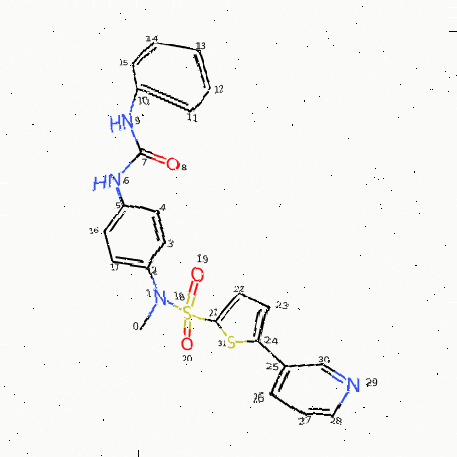 CN(c1ccc(NC(=O)Nc2ccccc2)cc1)S(=O)(=O)c1ccc(-c2cccnc2)s1